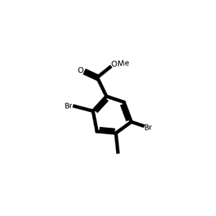 COC(=O)c1cc(Br)c(C)cc1Br